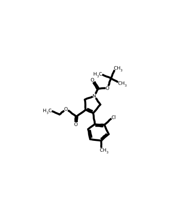 CCOC(=O)C1=C(c2ccc(C)cc2Cl)CN(C(=O)OC(C)(C)C)C1